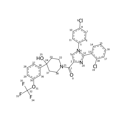 O=C(c1cn(-c2ccc(Cl)cc2)c(-c2ccccc2Cl)n1)N1CCC(O)(c2cccc(OC(F)(F)F)c2)CC1